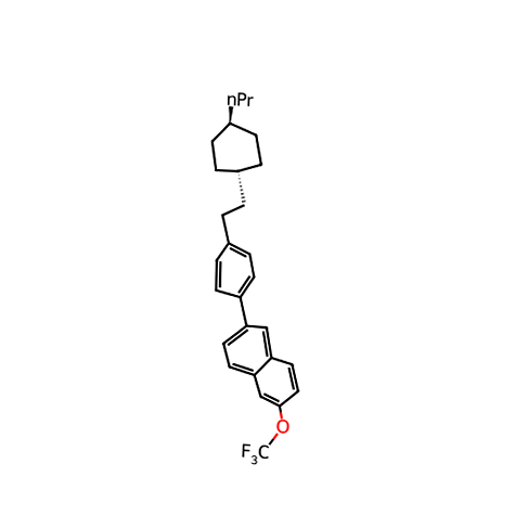 CCC[C@H]1CC[C@H](CCc2ccc(-c3ccc4cc(OC(F)(F)F)ccc4c3)cc2)CC1